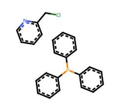 ClCc1ccccn1.c1ccc(P(c2ccccc2)c2ccccc2)cc1